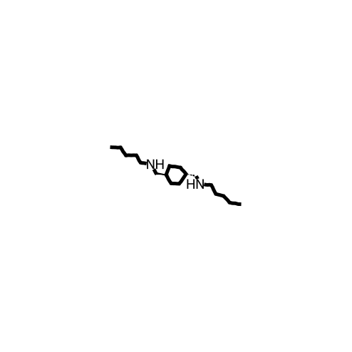 CCCCCNC[C@H]1CC[C@H](CNCCCCC)CC1